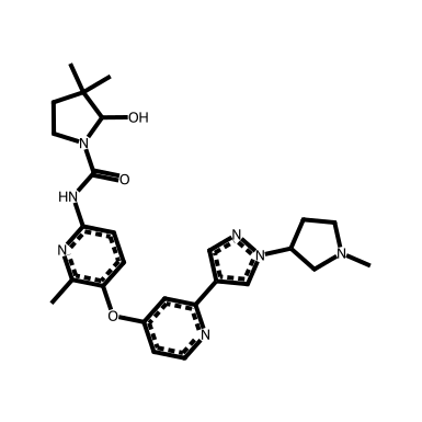 Cc1nc(NC(=O)N2CCC(C)(C)C2O)ccc1Oc1ccnc(-c2cnn(C3CCN(C)C3)c2)c1